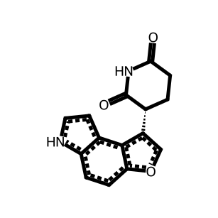 O=C1CC[C@H](c2coc3ccc4[nH]ccc4c23)C(=O)N1